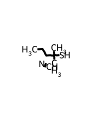 C#N.CCCC(C)(C)S